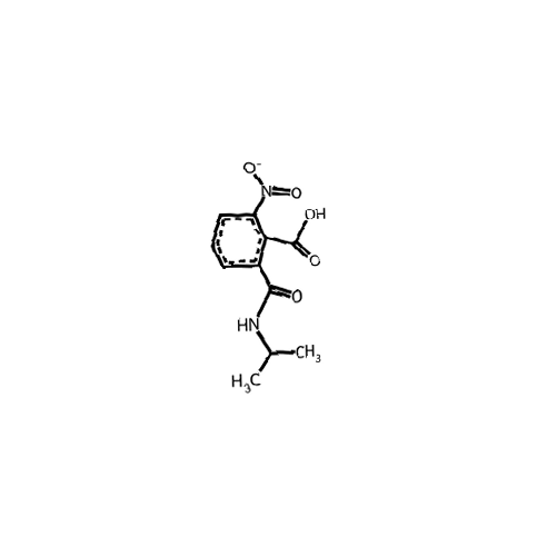 CC(C)NC(=O)c1cccc([N+](=O)[O-])c1C(=O)O